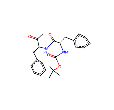 CC(=O)[C@H](Cc1ccccc1)NC(=O)[C@H](Cc1ccccc1)NC(=O)OC(C)(C)C